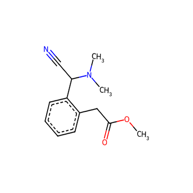 COC(=O)Cc1ccccc1C(C#N)N(C)C